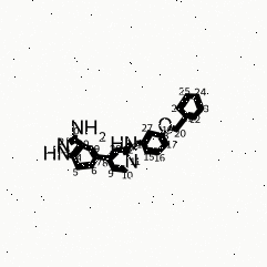 Nc1n[nH]c2ccc(-c3ccnc(Nc4cccc(OCc5ccccc5)c4)c3)cc12